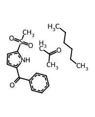 CC(C)=O.CCCCCC.CS(=O)(=O)c1ccc(C(=O)c2ccccc2)[nH]1